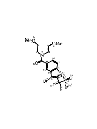 COCCN(CCOC)C(=O)c1ccc2sc(C(F)(F)P(=O)(O)O)c(Br)c2c1